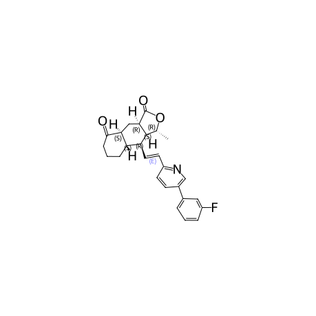 C[C@H]1OC(=O)[C@@H]2C[C@@H]3C(=O)CCC[C@H]3[C@H](/C=C/c3ccc(-c4cccc(F)c4)cn3)[C@H]12